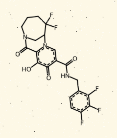 O=C(NCc1ccc(F)c(F)c1F)c1cn2c(c(O)c1=O)C(=O)N1CCCC(F)(F)C2C1